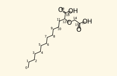 CCCCCCCCCCCCC(OCC(=O)O)C(=O)O